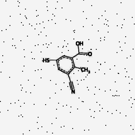 Cc1c(C#N)cc(S)cc1C(=O)O